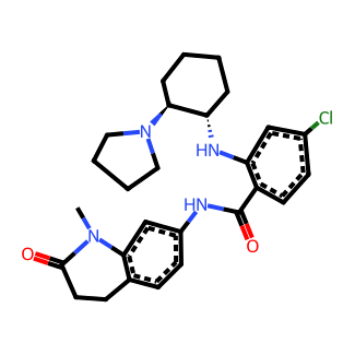 CN1C(=O)CCc2ccc(NC(=O)c3ccc(Cl)cc3N[C@H]3CCCC[C@@H]3N3CCCC3)cc21